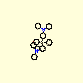 c1ccc(N(c2ccccc2)c2ccc([Si](c3ccccc3)(c3ccccc3)c3cccc4c3c3ccccc3n4-c3ccccc3)cc2)cc1